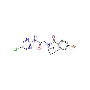 O=C(CN1C(=O)c2ccc(Br)cc2C2CC1C2)Nc1ncc(Cl)cn1